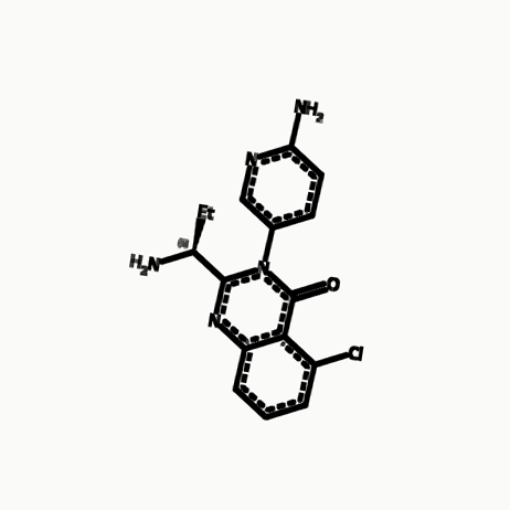 CC[C@H](N)c1nc2cccc(Cl)c2c(=O)n1-c1ccc(N)nc1